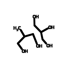 CC(CO)CO.OCC(O)CO